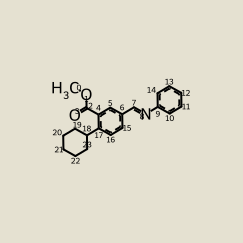 COC(=O)c1cc(C=Nc2ccccc2)ccc1C1CCCCC1